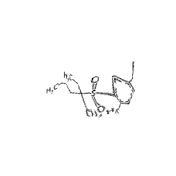 CCCC(C)(CC)S(=O)(=O)c1cc(F)ccc1C